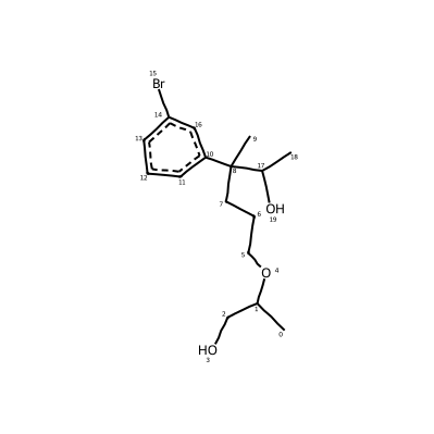 CC(CO)OCCCC(C)(c1cccc(Br)c1)C(C)O